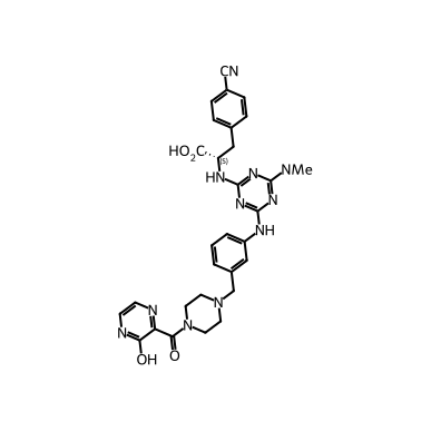 CNc1nc(Nc2cccc(CN3CCN(C(=O)c4nccnc4O)CC3)c2)nc(N[C@@H](Cc2ccc(C#N)cc2)C(=O)O)n1